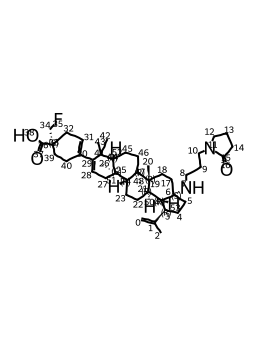 C=C(C)[C@@H]1CC[C@]2(NCCCN3CCCC3=O)CC[C@]3(C)[C@H](CC[C@@H]4[C@@]5(C)CC=C(C6=CC[C@](CF)(C(=O)O)CC6)C(C)(C)[C@@H]5CC[C@]43C)[C@@H]12